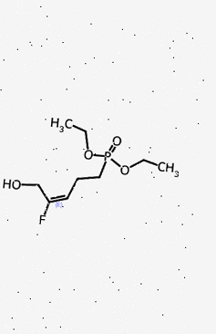 CCOP(=O)(CC/C=C(/F)CO)OCC